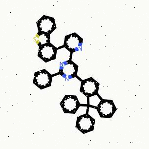 c1ccc(-c2nc(-c3ccc4c(c3)C(c3ccccc3)(c3ccccc3)c3ccccc3-4)cc(-c3ncccc3-c3cccc4sc5ccccc5c34)n2)cc1